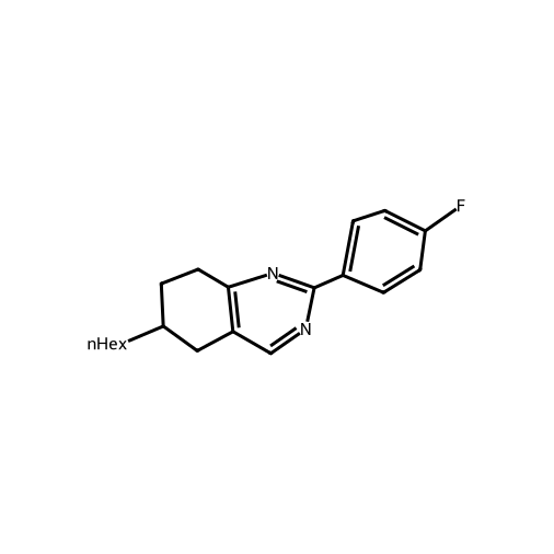 CCCCCCC1CCc2nc(-c3ccc(F)cc3)ncc2C1